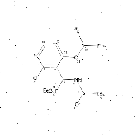 CCOC(=O)C(N[S@@+]([O-])C(C)(C)C)c1c(Cl)cccc1OC(F)F